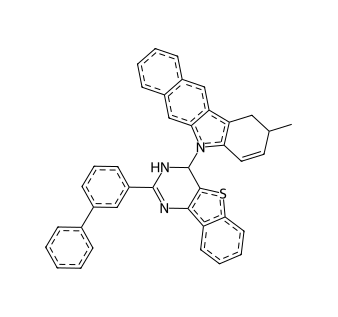 CC1C=Cc2c(c3cc4ccccc4cc3n2C2NC(c3cccc(-c4ccccc4)c3)=Nc3c2sc2ccccc32)C1